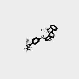 CC(C)c1ccccc1-c1cc2c(Nc3ccc(-c4nc(C(F)(F)F)cn4C)cc3)c[nH]c2cn1